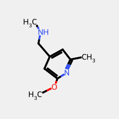 CNCc1cc(C)nc(OC)c1